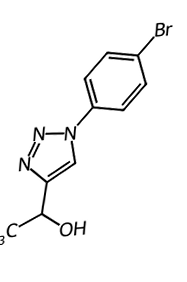 OC(c1cn(-c2ccc(Br)cc2)nn1)C(F)(F)F